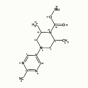 CC1CN(c2cnc(C#N)nc2)CC(C)N1C(=O)OC(C)(C)C